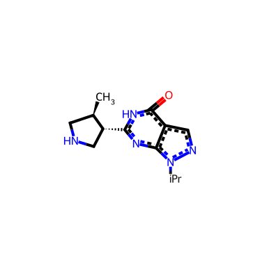 CC(C)n1ncc2c(=O)[nH]c([C@@H]3CNC[C@H]3C)nc21